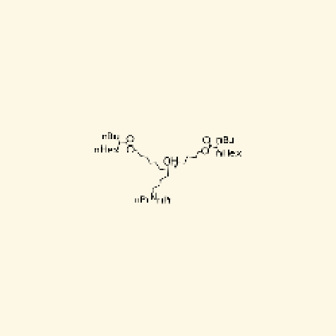 CCCCCCC(CCCC)C(=O)OCCCCCCC(O)(CCCCCCOC(=O)C(CCCC)CCCCCC)CCCCN(CCC)CCC